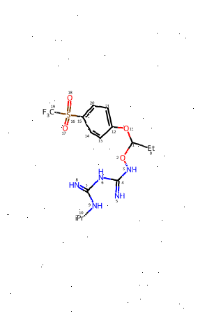 CCC(ONC(=N)NC(=N)NC(C)C)Oc1ccc(S(=O)(=O)C(F)(F)F)cc1